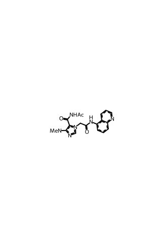 CNc1ncn(CC(=O)Nc2cccc3ncccc23)c1C(=O)NC(C)=O